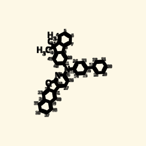 CC1(C)c2ccccc2-c2cc(N(c3ccc(-c4ccccc4)cc3)c3ccc4c(n3)oc3cc5ccccc5cc34)ccc21